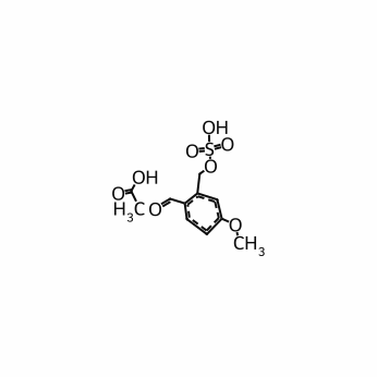 CC(=O)O.COc1ccc(C=O)c(COS(=O)(=O)O)c1